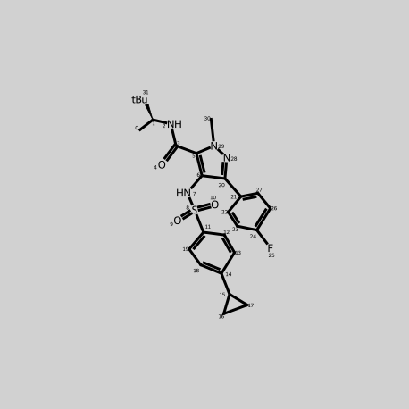 C[C@H](NC(=O)c1c(NS(=O)(=O)c2ccc(C3CC3)cc2)c(-c2ccc(F)cc2)nn1C)C(C)(C)C